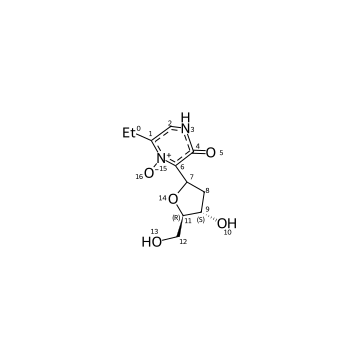 CCc1c[nH]c(=O)c(C2C[C@H](O)[C@@H](CO)O2)[n+]1[O-]